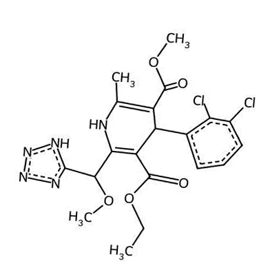 CCOC(=O)C1=C(C(OC)c2nnn[nH]2)NC(C)=C(C(=O)OC)C1c1cccc(Cl)c1Cl